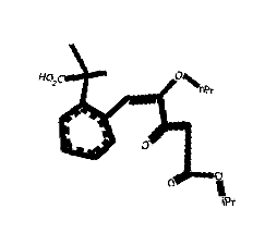 CCCO/C(=C/c1ccccc1C(C)(C)C(=O)O)C(=O)CC(=O)OC(C)C